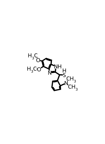 COc1ccc2[nH]c(C(S)c3ccccc3N(C)C)nc2c1OC